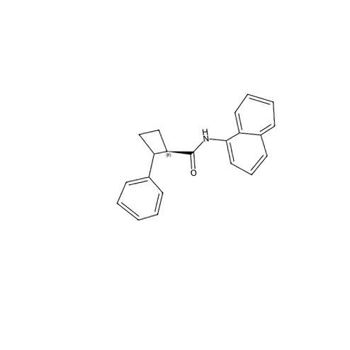 O=C(Nc1cccc2ccccc12)[C@@H]1CCC1c1ccccc1